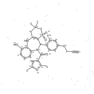 C#CCOc1ccc(C2C3=C(CC(C)(C)CS3(=O)=O)Nc3c(O)cccc3N2C(=O)c2nc(C)oc2C)c(F)c1